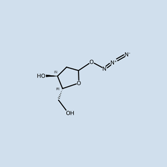 [N-]=[N+]=NOC1C[C@H](O)[C@@H](CO)O1